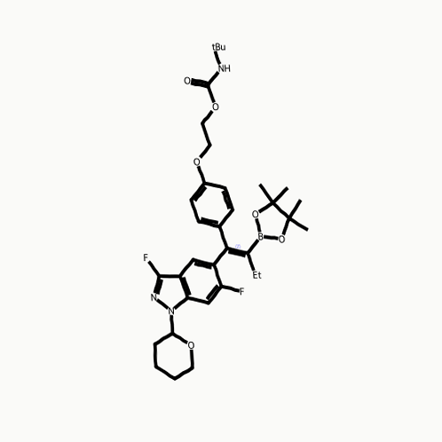 CC/C(B1OC(C)(C)C(C)(C)O1)=C(/c1ccc(OCCOC(=O)NC(C)(C)C)cc1)c1cc2c(F)nn(C3CCCCO3)c2cc1F